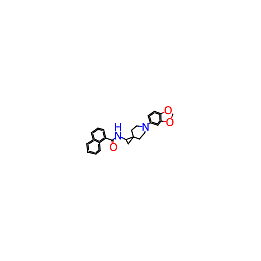 O=C(NC1CC12CCN(c1ccc3c(c1)OCO3)CC2)c1cccc2ccccc12